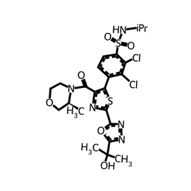 CC(C)NS(=O)(=O)c1ccc(-c2sc(-c3nnc(C(C)(C)O)o3)nc2C(=O)N2CCOC[C@@H]2C)c(Cl)c1Cl